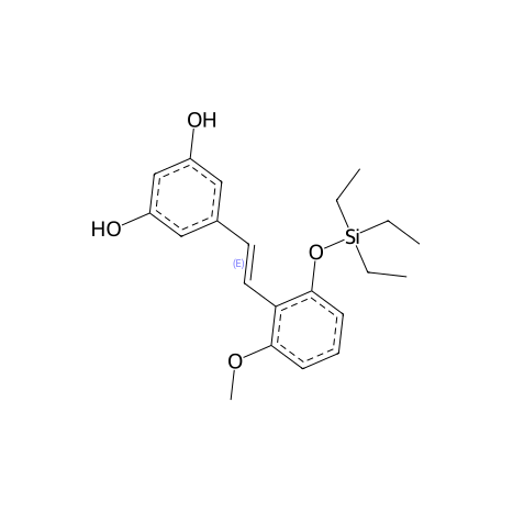 CC[Si](CC)(CC)Oc1cccc(OC)c1/C=C/c1cc(O)cc(O)c1